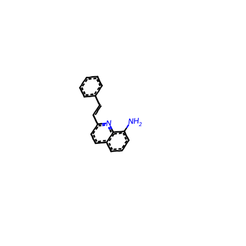 Nc1cccc2ccc(C=Cc3ccccc3)nc12